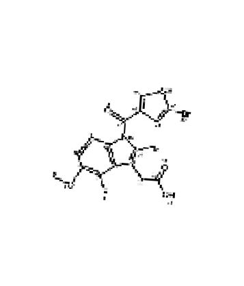 COc1ccc2c(c1F)c(CC(=O)O)c(C)n2C(=O)c1csc(Br)c1